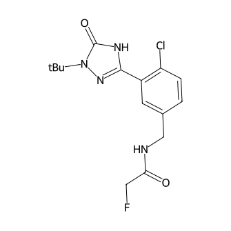 CC(C)(C)n1nc(-c2cc(CNC(=O)CF)ccc2Cl)[nH]c1=O